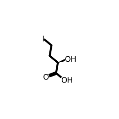 O=C(O)[C@H](O)CCI